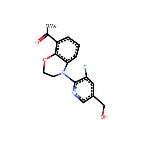 COC(=O)c1cccc2c1OCCN2c1ncc(CO)cc1Cl